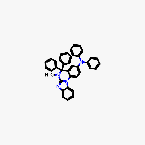 CN1c2nc3ccccc3n2-c2ccc(N(c3ccccc3)c3ccccc3)cc2C1(c1ccccc1)c1ccccc1